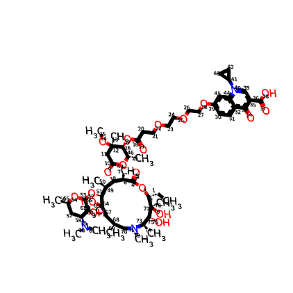 CC[C@H]1OC(=O)[C@H](C)[C@@H](OC2C[C@@](C)(OC)[C@@H](OC(=O)CCOCCOCCOc3ccc4c(=O)c(C(=O)O)cn(C5CC5)c4c3)[C@H](C)O2)[C@H](C)[C@@H](OC2O[C@H](C)C[C@H](N(C)C)[C@H]2O)[C@](C)(O)C[C@@H](C)CN(C)[C@H](C)[C@@H](O)[C@]1(C)O